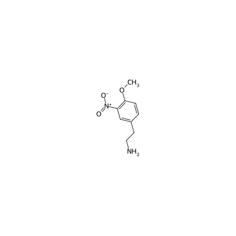 COc1ccc(CCN)cc1[N+](=O)[O-]